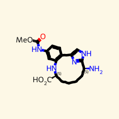 COC(=O)Nc1ccc2c(c1)N[C@H](C(=O)O)CCCC[C@H](N)c1nc-2c[nH]1